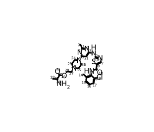 Cc1nc(Nc2ncc(C(=O)Nc3c(C)cccc3Cl)s2)cc(N2CCN(CCOC(=O)C(C)N)CC2)n1